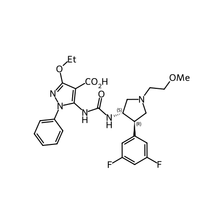 CCOc1nn(-c2ccccc2)c(NC(=O)N[C@@H]2CN(CCOC)C[C@H]2c2cc(F)cc(F)c2)c1C(=O)O